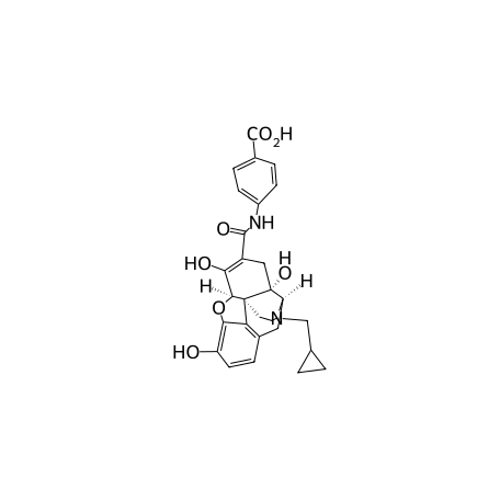 O=C(Nc1ccc(C(=O)O)cc1)C1=C(O)[C@@H]2Oc3c(O)ccc4c3[C@@]23CCN(CC2CC2)[C@H](C4)[C@]3(O)C1